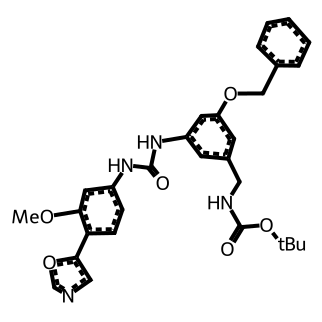 COc1cc(NC(=O)Nc2cc(CNC(=O)OC(C)(C)C)cc(OCc3ccccc3)c2)ccc1-c1cnco1